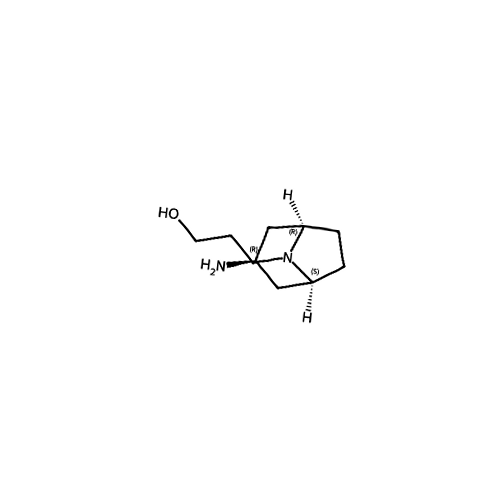 N[C@H]1C[C@H]2CC[C@@H](C1)N2CCCO